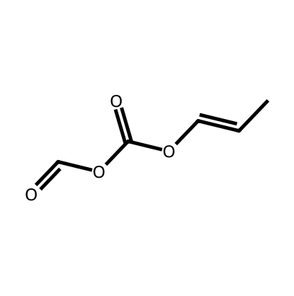 CC=COC(=O)OC=O